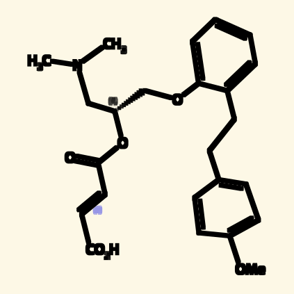 COc1ccc(CCc2ccccc2OC[C@@H](CN(C)C)OC(=O)/C=C/C(=O)O)cc1